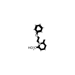 CC1CCCC(C(=O)O)N1CCOc1ccccc1